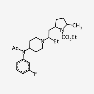 CCOC(=O)N1C(C)CCC1CC(CC)N1CCC(N(C(C)=O)c2cccc(F)c2)CC1